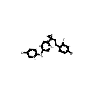 Fc1ccc(CCC2(c3ccc(Oc4ccc(Cl)cn4)cn3)CO2)c(F)c1